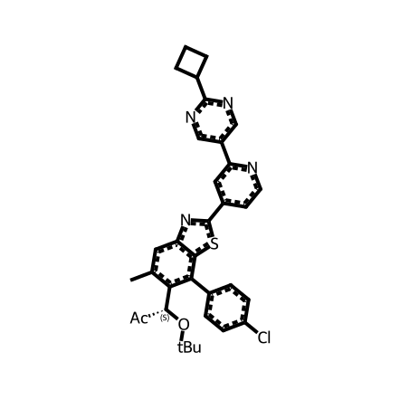 CC(=O)[C@@H](OC(C)(C)C)c1c(C)cc2nc(-c3ccnc(-c4cnc(C5CCC5)nc4)c3)sc2c1-c1ccc(Cl)cc1